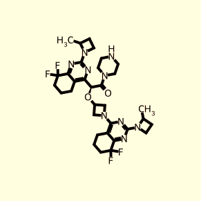 CC1CCN1c1nc([C@H](OC2CN(c3nc(N4CCC4C)nc4c3CCCC4(F)F)C2)C(=O)N2CCNCC2)c2c(n1)C(F)(F)CCC2